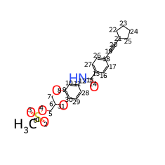 CS(=O)(=O)OCC1COc2cc(NC(=O)c3ccc(C#CC4CCCC4)cc3)ccc2O1